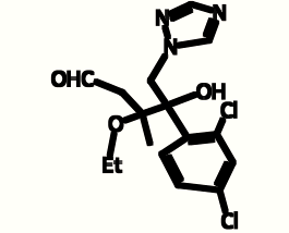 CCOC(C)(CC=O)C(O)(Cn1cncn1)c1ccc(Cl)cc1Cl